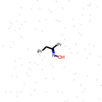 CC(C)CC(=NO)C(C)C